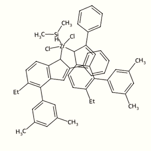 CCc1ccc2c(c1-c1cc(C)cc(C)c1)C=C(c1ccccc1)[CH]2[Zr]([Cl])([Cl])([CH]1C(c2ccccc2)=Cc2c1ccc(CC)c2-c1cc(C)cc(C)c1)[SiH](C)C